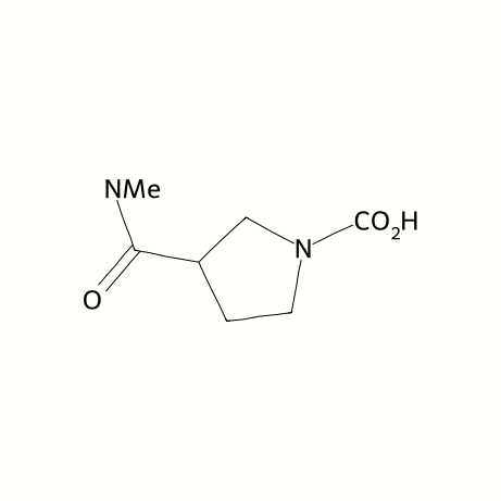 CNC(=O)C1CCN(C(=O)O)C1